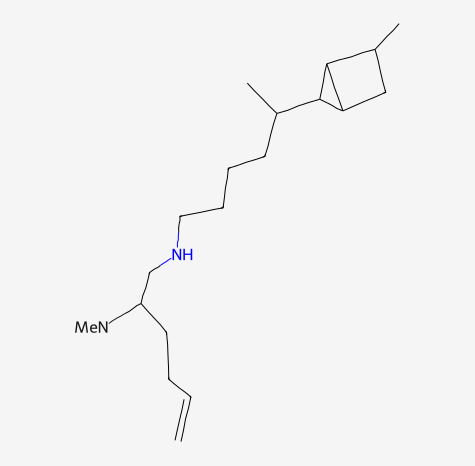 C=CCCC(CNCCCCC(C)C1C2CC(C)C21)NC